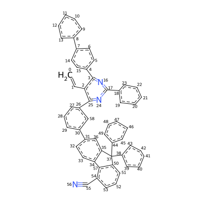 C=Cc1c(-c2ccc(-c3ccccc3)cc2)nc(-c2ccccc2)nc1-c1cccc(-c2ccc3c(c2)C(c2ccccc2)(c2ccccc2)c2cccc(C#N)c2-3)c1